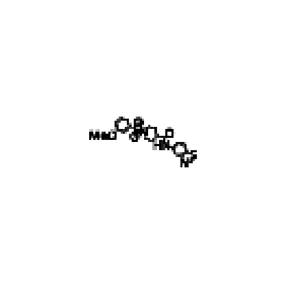 COc1cccc(S(=O)(=O)N2CCC(C(=O)Nc3ccc4scnc4c3)CC2)c1